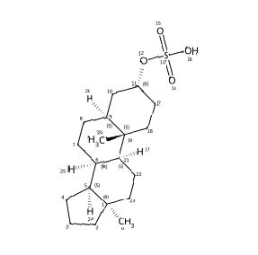 C[C@]12CCC[C@H]1[C@H]1CC[C@H]3C[C@H](OS(=O)(=O)O)CC[C@]3(C)[C@H]1CC2